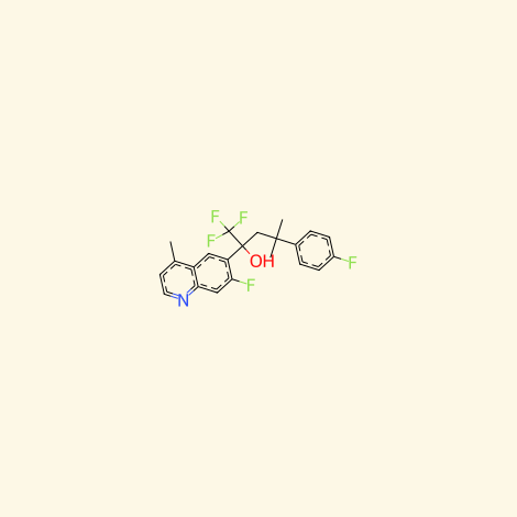 Cc1ccnc2cc(F)c(C(O)(CC(C)(C)c3ccc(F)cc3)C(F)(F)F)cc12